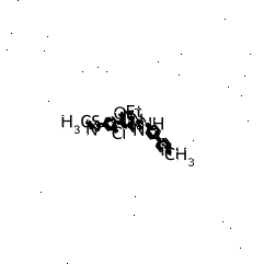 CCn1c(=O)c(-c2ccc(-c3cnc(C)s3)cc2Cl)cc2cnc(Nc3ccc(C4CCN(C)CC4)cc3)nc21